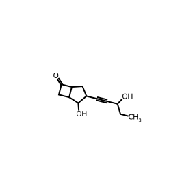 CCC(O)C#CC1CC2C(=O)CC2C1O